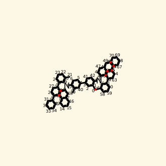 Cc1cc(-c2ccc(N(c3ccc4ccccc4c3)c3c(C)cccc3-c3ccc(-c4ccccc4)cc3)c(C)c2)ccc1N(c1ccc2ccccc2c1)c1c(C)cccc1-c1ccc(-c2ccccc2)cc1